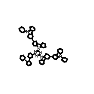 c1ccc(-c2ccccc2-c2cccc(-c3nc(-n4c5ccccc5c5cc(-c6ccc7c(c6)c6ccccc6n7-c6ccccc6)ccc54)nc(-n4c5ccccc5c5cc(-c6ccc7c(c6)c6ccccc6n7-c6ccccc6)ccc54)n3)c2)cc1